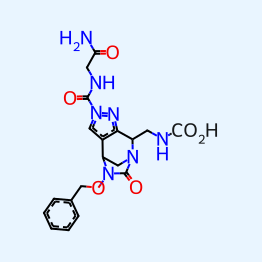 NC(=O)CNC(=O)n1cc2c(n1)C(CNC(=O)O)N1CC2N(OCc2ccccc2)C1=O